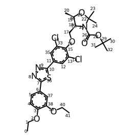 CCOc1ccc(-c2nnc(-c3cc(Cl)c(OC[C@H]4[C@@H](C)OC(C)(C)N4C(=O)OC(C)(C)C)c(Cl)c3)s2)cc1OCC